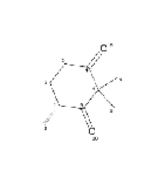 C[C@@H]1CCC(=O)C(C)(C)C1=O